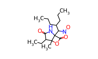 CCCC(CCC)C(N=O)C12NC(=O)C(CC)C1(C)OC2=O